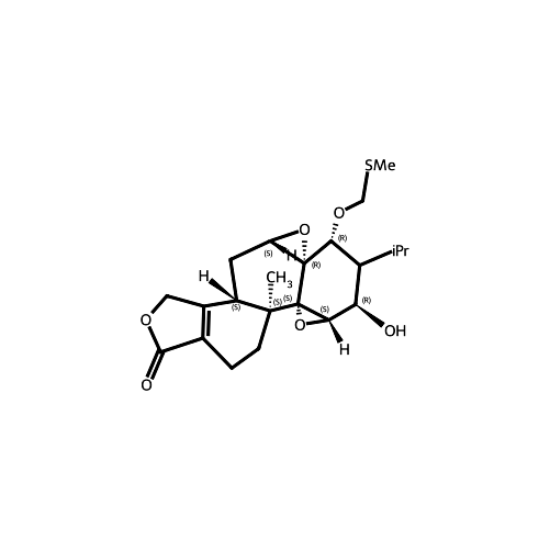 CSCO[C@@H]1C(C(C)C)[C@@H](O)[C@@H]2O[C@]23[C@]12O[C@H]2C[C@H]1C2=C(CC[C@@]13C)C(=O)OC2